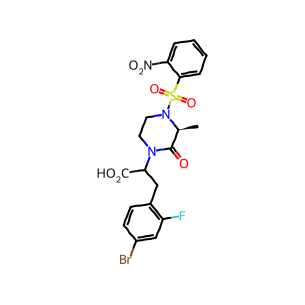 C[C@H]1C(=O)N(C(Cc2ccc(Br)cc2F)C(=O)O)CCN1S(=O)(=O)c1ccccc1[N+](=O)[O-]